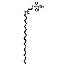 CCCCCCCCC=CCCCCCCCC[N+](C)(C)CCOP(=O)(O)O